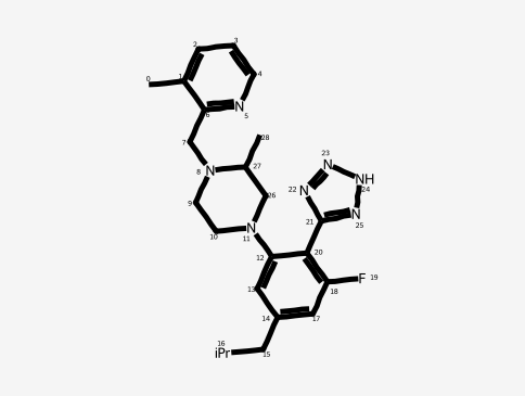 Cc1cccnc1CN1CCN(c2cc(CC(C)C)cc(F)c2-c2nn[nH]n2)CC1C